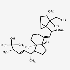 COC(/C=C1\CCC[C@]2(C)C([C@H](C)/C=C/[C@H](C)C(C)(C)O)CC[C@@H]12)C12CC1C[C@H](OC(C)=O)C2(O)CO